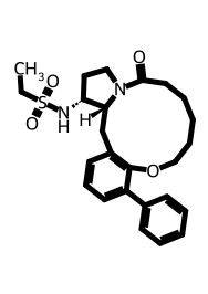 CCS(=O)(=O)N[C@@H]1CCN2C(=O)CCCCCOc3c(cccc3-c3ccccc3)C[C@H]12